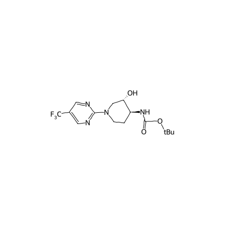 CC(C)(C)OC(=O)N[C@H]1CCN(c2ncc(C(F)(F)F)cn2)C[C@@H]1O